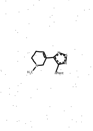 CCCCCc1nsnc1C1=CCCN(C)C1